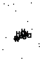 Cc1nc(NCC2CCC(NC(=O)c3cc(Cl)cnc3Cl)CC2)sc1C